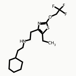 CCc1sc(OCC(F)(F)F)nc1CCNCCC1CCCCC1